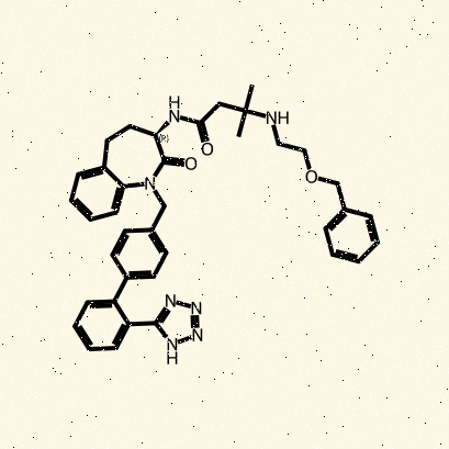 CC(C)(CC(=O)N[C@@H]1CCc2ccccc2N(Cc2ccc(-c3ccccc3-c3nnn[nH]3)cc2)C1=O)NCCOCc1ccccc1